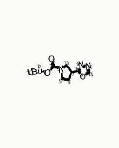 CC(C)(C)OC(=O)N1CCC(c2nn[c]o2)C1